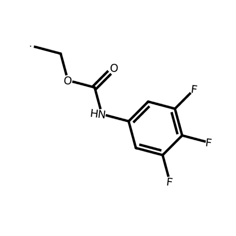 [CH2]COC(=O)Nc1cc(F)c(F)c(F)c1